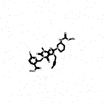 CC#CCn1c(N2CCCC(NC(=O)OC(C)(C)C)C2)nc2c1c(=O)n(Cc1nc(F)ccc1C(=O)OC)c(=O)n2C